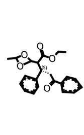 CCOC(=O)C(C1OC(C)O1)[C@H](CC(=O)c1ccccc1)c1ccccc1